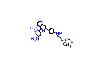 CN(C)CCCNc1ccc(-c2cc3ncccc3c(C3(N)CCC(N)CC3)n2)cc1